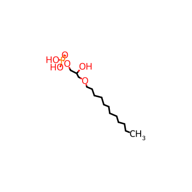 CCCCCCCCCCCCOCC(O)COP(=O)(O)O